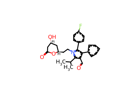 CC(C)c1c(C=O)c(-c2ccccc2)c(-c2ccc(F)cc2)n1CC[C@@H]1C[C@@H](O)CC(=O)O1